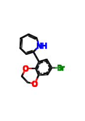 Brc1cc2c(c(C3=CC=CC=CN3)c1)OCCO2